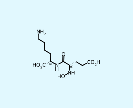 NCCCC[C@H](NC(=O)[C@H](CCC(=O)O)NO)C(=O)O